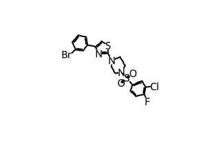 O=S(=O)(c1ccc(F)c(Cl)c1)N1CCN(c2nc(-c3cccc(Br)c3)cs2)CC1